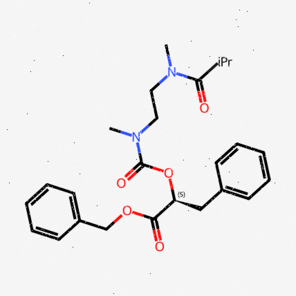 CC(C)C(=O)N(C)CCN(C)C(=O)O[C@@H](Cc1ccccc1)C(=O)OCc1ccccc1